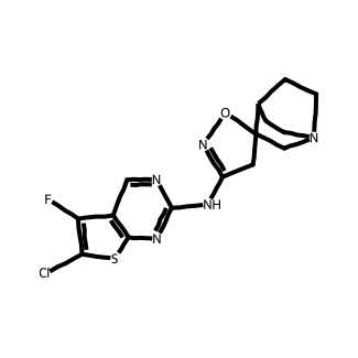 Fc1c(Cl)sc2nc(NC3=NOC4(C3)CN3CCC4CC3)ncc12